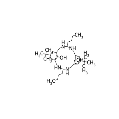 CCCCC1NCc2cc(C(C)(C)C)cc(c2O)CNC(CCCC)NCc2cc(C(C)(C)C)cc(c2O)CN1